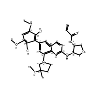 C=CC(=O)N[C@H]1COC[C@H]1Nc1ncc2cc(-c3c(Cl)c(OC)cc(OC)c3Cl)nc(N3CCC(C)(OC)C3)c2n1